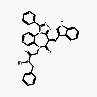 CC(C)N(Cc1ccccc1)C(=O)CN1C(=O)/C(=C/c2c[nH]c3ccccc23)c2nnc(-c3ccccc3)n2-c2ccccc21